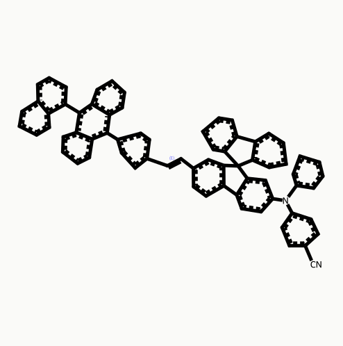 N#Cc1ccc(N(c2ccccc2)c2ccc3c(c2)C2(c4ccccc4-c4ccccc42)c2cc(/C=C/c4ccc(-c5c6ccccc6c(-c6cccc7ccccc67)c6ccccc56)cc4)ccc2-3)cc1